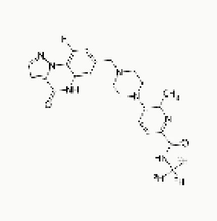 [2H]C([2H])([2H])NC(=O)c1ccc(N2CCN(Cc3cc(F)c4c(c3)[nH]c(=O)c3ccnn34)CC2)c(C)n1